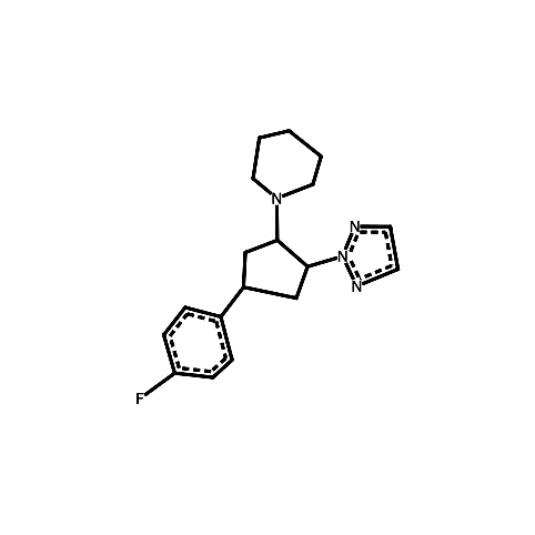 Fc1ccc(C2CC(N3CCCCC3)C(n3nccn3)C2)cc1